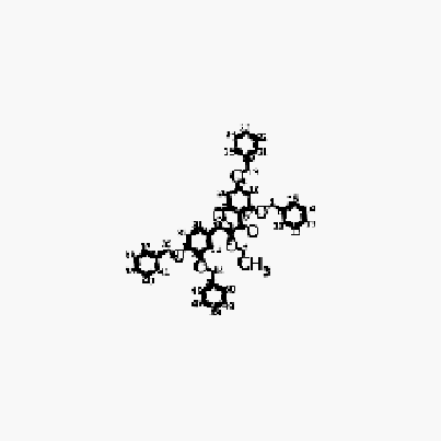 CCOC1C(=O)c2c(OCc3ccccc3)cc(OCc3ccccc3)cc2OC1c1ccc(OCc2ccccc2)c(OCc2ccccc2)c1